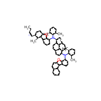 C=C/C=C\c1ccc2oc3c(N(c4c(C)cccc4C)c4ccc5ccc6c(N(c7c(C)cccc7C)c7cccc8c7oc7ccc9ccccc9c78)ccc7ccc4c5c76)cccc3c2c1C